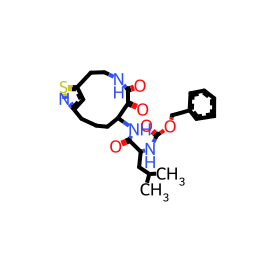 CC(C)CC(NC(=O)OCc1ccccc1)C(=O)NC1CCCc2cc(sn2)CCNC(=O)C1=O